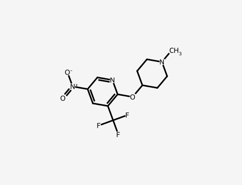 CN1CCC(Oc2ncc([N+](=O)[O-])cc2C(F)(F)F)CC1